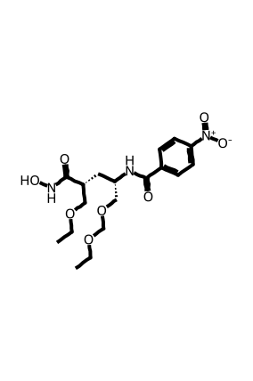 CCOCOC[C@H](C[C@H](COCC)C(=O)NO)NC(=O)c1ccc([N+](=O)[O-])cc1